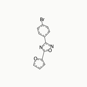 Brc1ccc(-c2noc(-c3ccco3)n2)cc1